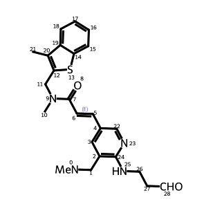 CNCc1cc(/C=C/C(=O)N(C)Cc2sc3ccccc3c2C)cnc1NCCC=O